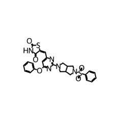 O=C1NC(=O)/C(=C\c2cc(Oc3ccccc3)nc(N3CC4CN(S(=O)(=O)c5ccccc5)CC4C3)n2)S1